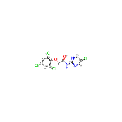 O=C(COc1c(Cl)cc(Cl)cc1Cl)Nc1ncc(Cl)cn1